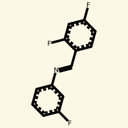 Fc1cccc(/N=C/c2ccc(F)cc2F)c1